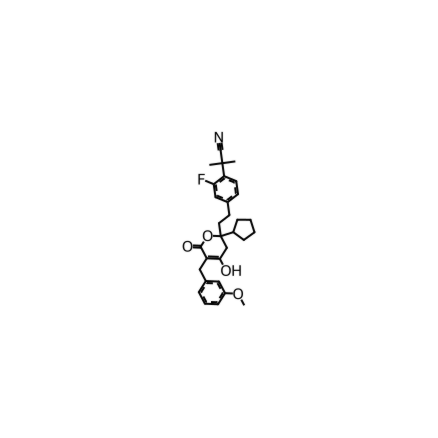 COc1cccc(CC2=C(O)CC(CCc3ccc(C(C)(C)C#N)c(F)c3)(C3CCCC3)OC2=O)c1